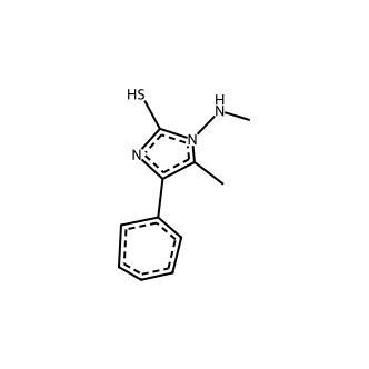 CNn1c(S)nc(-c2ccccc2)c1C